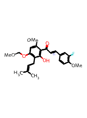 COCOc1cc(OC)c(C(=O)/C=C/c2ccc(OC)c(F)c2)c(O)c1CC=C(C)C